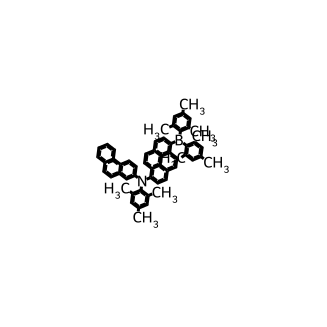 Cc1cc(C)c(B(c2c(C)cc(C)cc2C)c2ccc3ccc4c(N(c5ccc6c(ccc7ccccc76)c5)c5c(C)cc(C)cc5C)ccc5ccc2c3c54)c(C)c1